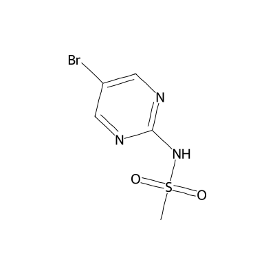 CS(=O)(=O)Nc1ncc(Br)cn1